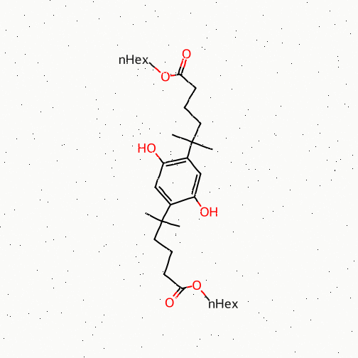 CCCCCCOC(=O)CCCC(C)(C)c1cc(O)c(C(C)(C)CCCC(=O)OCCCCCC)cc1O